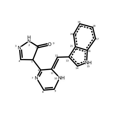 O=C1NN=CC1C1=NC=CNC1=Cc1c[nH]c2ccccc12